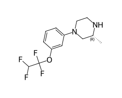 C[C@@H]1CN(c2cccc(OC(F)(F)C(F)F)c2)CCN1